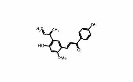 C=CC(=C)c1cc(/C=C/C(=O)c2ccc(O)cc2)c(OC)cc1O